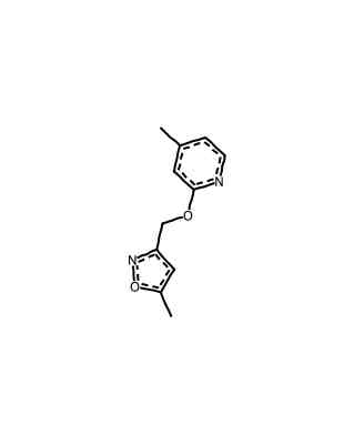 Cc1ccnc(OCc2cc(C)on2)c1